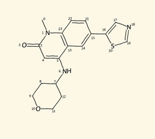 Cn1c(=O)cc(NC2CCOCC2)c2cc(-c3cncs3)ccc21